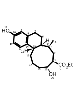 CCOC(=O)[C@@H]1C[C@H](C)[C@@H]2CCc3cc(O)ccc3[C@H]2CCC[C@H]1O